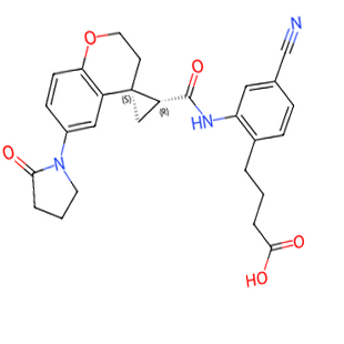 N#Cc1ccc(CCCC(=O)O)c(NC(=O)[C@@H]2C[C@]23CCOc2ccc(N4CCCC4=O)cc23)c1